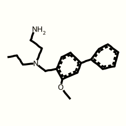 CCCN(CCN)Cc1ccc(-c2ccccc2)cc1OC